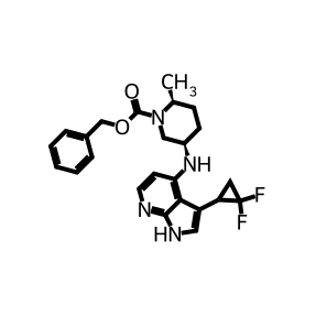 C[C@H]1CC[C@@H](Nc2ccnc3[nH]cc(C4CC4(F)F)c23)CN1C(=O)OCc1ccccc1